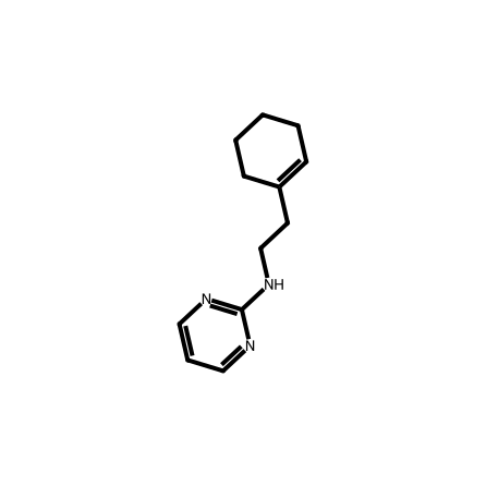 C1=C(CCNc2ncccn2)CCCC1